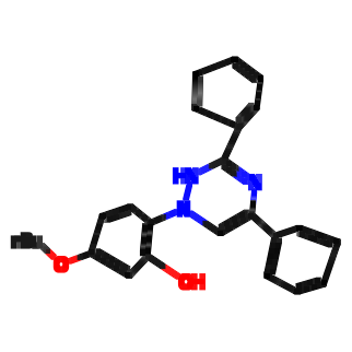 CCCCOc1ccc(N2C=C(c3ccccc3)N=C(c3ccccc3)N2)c(O)c1